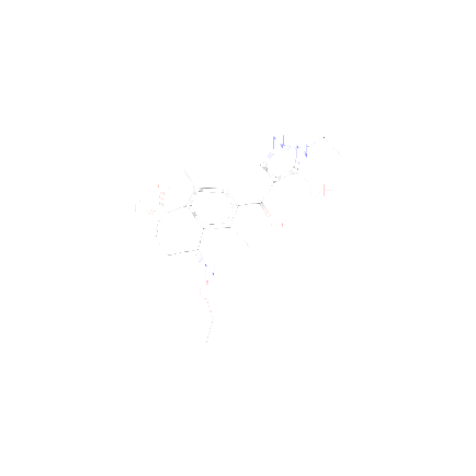 CCON=C1CCS(=O)(=O)c2c(C)cc(C(=O)c3cnn(CC)c3O)c(C)c21